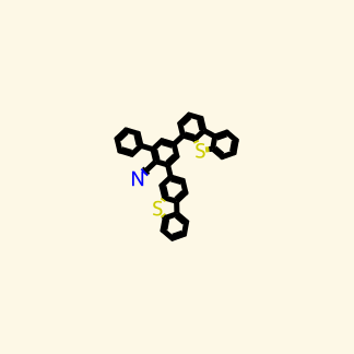 N#Cc1c(-c2ccccc2)cc(-c2cccc3c2sc2ccccc23)cc1-c1ccc2c(c1)sc1ccccc12